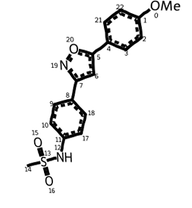 COc1ccc(-c2cc(-c3ccc(NS(C)(=O)=O)cc3)no2)cc1